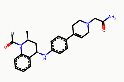 CCC(=O)N1c2ccccc2[C@H](Nc2ccc(C3=CCN(CC(N)=O)CC3)cc2)C[C@@H]1C